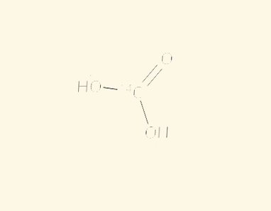 O=[14C](O)O